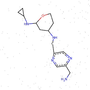 NCc1cnc(CNC2CCOC(NC3CC3)C2)cn1